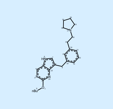 CCCCOc1ncc2[nH]cc(Cc3cccc(CCN4CCCC4)c3)c2n1